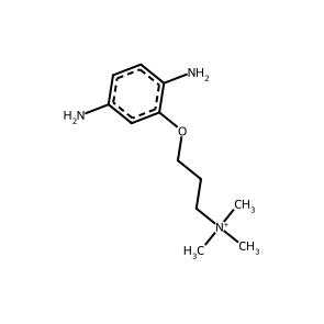 C[N+](C)(C)CCCOc1cc(N)ccc1N